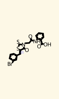 O=C(CCN1C(=O)/C(=C/c2cccc(Br)c2)SC1=S)Nc1ccccc1C(=O)O